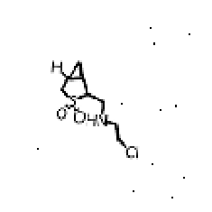 O=S1(=O)C[C@@H]2CC2C1CNCCCl